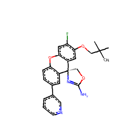 CC(C)(C#N)COc1cc2c(cc1F)Oc1ccc(-c3cccnc3)cc1[C@@]21COC(N)=N1